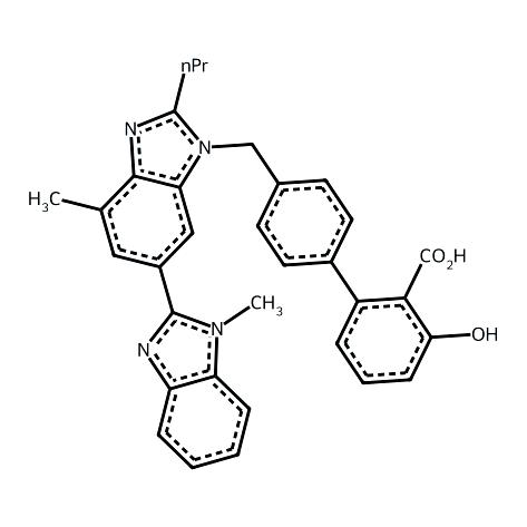 CCCc1nc2c(C)cc(-c3nc4ccccc4n3C)cc2n1Cc1ccc(-c2cccc(O)c2C(=O)O)cc1